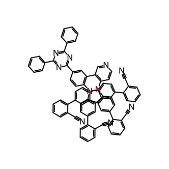 N#Cc1ccccc1-c1ccc2c(c1)c1cc(-c3ccccc3C#N)ccc1n2-c1ccncc1-c1cc(-c2nc(-c3ccccc3)nc(-c3ccccc3)n2)ccc1-n1c2ccc(-c3ccccc3C#N)cc2c2cc(-c3ccccc3C#N)ccc21